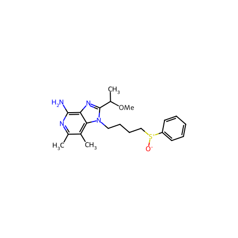 COC(C)c1nc2c(N)nc(C)c(C)c2n1CCCC[S+]([O-])c1ccccc1